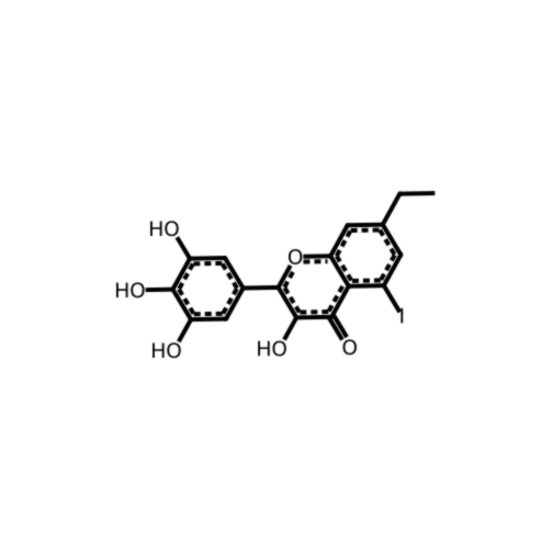 CCc1cc(I)c2c(=O)c(O)c(-c3cc(O)c(O)c(O)c3)oc2c1